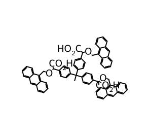 CC(c1ccc(C(OCc2c3ccccc3cc3ccccc23)C(=O)O)cc1)(c1ccc(C(OCc2c3ccccc3cc3ccccc23)C(=O)O)cc1)c1ccc(C(OCc2c3ccccc3cc3ccccc23)C(=O)O)cc1